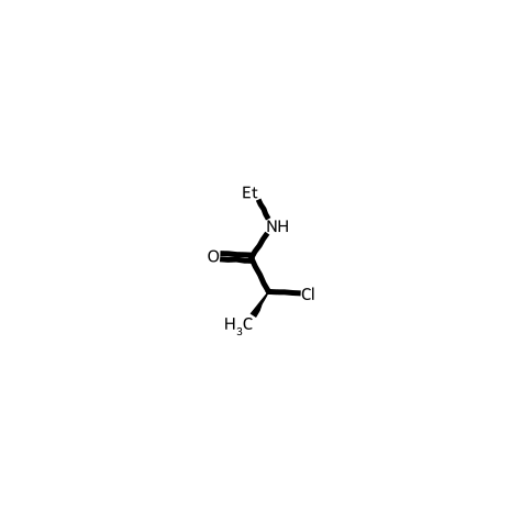 CCNC(=O)[C@H](C)Cl